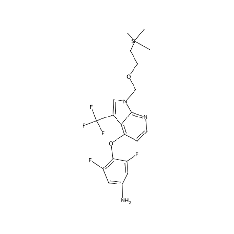 C[Si](C)(C)CCOCn1cc(C(F)(F)F)c2c(Oc3c(F)cc(N)cc3F)ccnc21